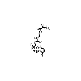 C=C(C)C(=O)OCCNC(=O)OCC(F)(F)S(=O)(=O)ON1C(=O)CCC1=O